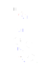 CS(=O)(=O)NCCCNCc1ccc(N/C(=C2\C(=O)Nc3cc(Cl)ccc32)c2ccccc2)cc1